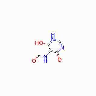 O=CNc1c(O)[nH]cnc1=O